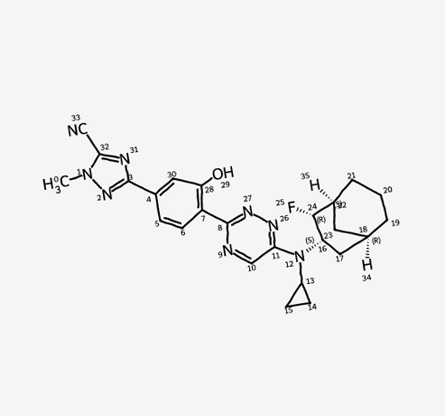 Cn1nc(-c2ccc(-c3ncc(N(C4CC4)[C@H]4C[C@@H]5CCC[C@@H](C5)[C@H]4F)nn3)c(O)c2)nc1C#N